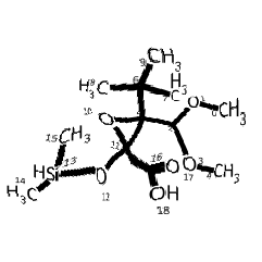 COC(OC)C1(C(C)(C)C)OC1(O[SiH](C)C)C(=O)O